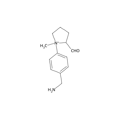 C[N+]1(c2ccc(CN)cc2)CCCC1C=O